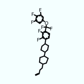 C=CCCC1CCC(C2CCC(c3ccc(C(F)(F)Oc4cc(F)c(F)c(F)c4)c(F)c3F)CC2)CC1